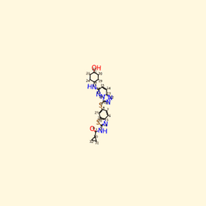 O=C(Nc1nc2ccc(Sc3nnc4ccc(N[C@H]5CC[C@H](O)CC5)nn34)cc2s1)C1CC1